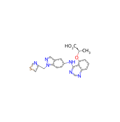 C[C@@H](Oc1cccc2ncnc(Nc3ccc4c(cnn4Cc4cscn4)c3)c12)C(=O)O